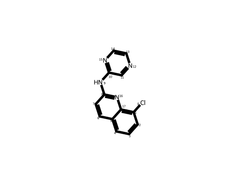 Clc1cccc2ccc(Nc3cnccn3)nc12